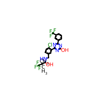 CC(C)(C(O)NCc1ccc(Cl)c(-c2nc(O)nc(-c3cccc(C(F)(F)F)c3)n2)c1)C(F)(F)F